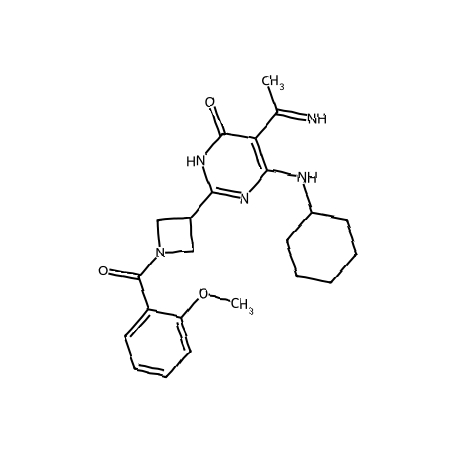 COc1ccccc1C(=O)N1CC(c2nc(NC3CCCCC3)c(C(C)=N)c(=O)[nH]2)C1